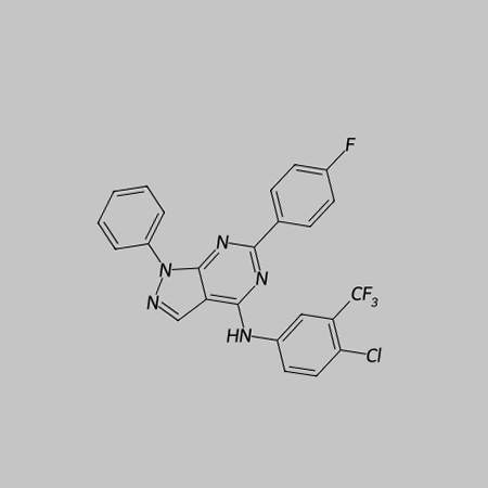 Fc1ccc(-c2nc(Nc3ccc(Cl)c(C(F)(F)F)c3)c3cnn(-c4ccccc4)c3n2)cc1